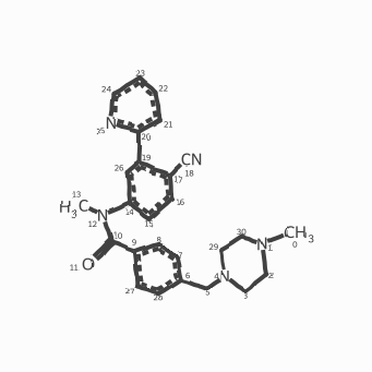 CN1CCN(Cc2ccc(C(=O)N(C)c3ccc(C#N)c(-c4ccccn4)c3)cc2)CC1